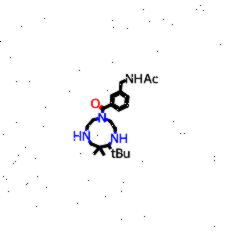 CC(=O)NCc1cccc(C(=O)N2CCNCC(C)(C)C(C(C)(C)C)NCC2)c1